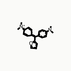 CN(C)c1ccc(C(=C2C=CC(=[N+](C)C)C=C2)c2ccco2)cc1